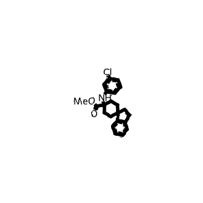 COC(=O)C1(Nc2cccc(Cl)c2)CCC2(CCc3ccccc32)CC1